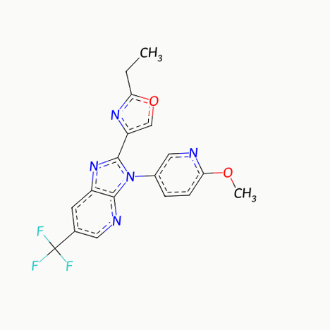 CCc1nc(-c2nc3cc(C(F)(F)F)cnc3n2-c2ccc(OC)nc2)co1